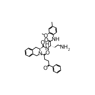 COc1cc(C)ccc1NC(=O)[C@H](CCN)NC(=O)[C@@H]1Cc2ccccc2CN1C(=O)CCC(=O)c1ccccc1